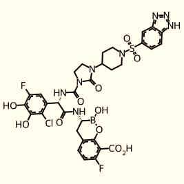 O=C(O)c1c(F)ccc2c1OB(O)[C@@H](NC(=O)[C@@H](NC(=O)N1CCN(C3CCN(S(=O)(=O)c4ccc5[nH]nnc5c4)CC3)C1=O)c1cc(F)c(O)c(O)c1Cl)C2